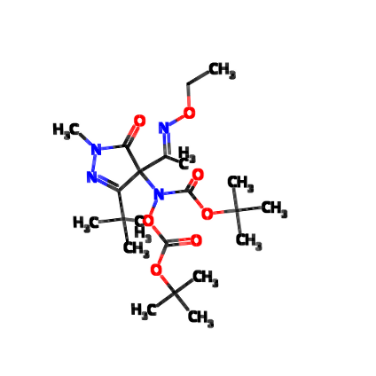 CCON=C(C)C1(N(OC(=O)OC(C)(C)C)C(=O)OC(C)(C)C)C(=O)N(C)N=C1C(C)(C)C